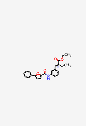 CCOC(=O)/C(=C/c1cccc(NC(=O)c2ccc(-c3ccccc3)o2)c1)CC